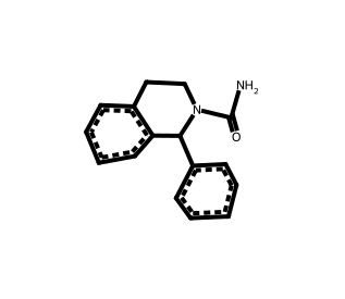 NC(=O)N1CCc2ccccc2C1c1ccccc1